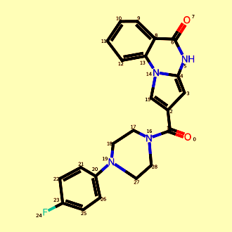 O=C(c1cc2[nH]c(=O)c3ccccc3n2c1)N1CCN(c2ccc(F)cc2)CC1